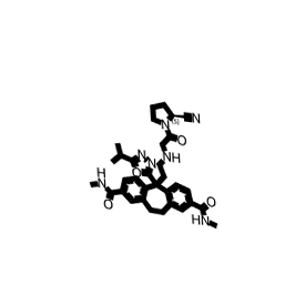 CNC(=O)c1ccc2c(c1)CCc1cc(C(=O)NC)ccc1C2(CCNCC(=O)N1CCC[C@H]1C#N)c1nnc(C(C)C)o1